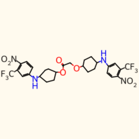 O=C(COC1CCC(Nc2ccc([N+](=O)[O-])c(C(F)(F)F)c2)CC1)OC1CCC(Nc2ccc([N+](=O)[O-])c(C(F)(F)F)c2)CC1